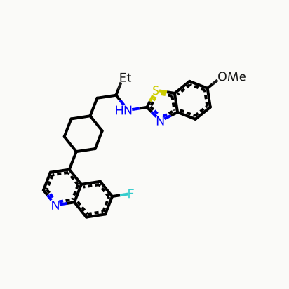 CCC(CC1CCC(c2ccnc3ccc(F)cc23)CC1)Nc1nc2ccc(OC)cc2s1